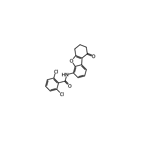 O=C(Nc1cccc2c3c(oc12)CCCC3=O)c1c(Cl)cccc1Cl